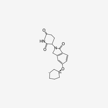 O=C1CCC(N2Cc3cc(O[C@@H]4C[CH]CCC4)ccc3C2=O)C(=O)N1